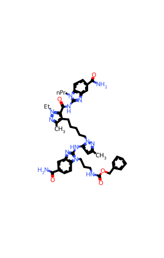 CCCn1c(NC(=O)c2c(CCCCCn3nc(C)cc3Nc3nc4cc(C(N)=O)ccc4n3CCCNC(=O)OCc3ccccc3)c(C)nn2CC)nc2cc(C(N)=O)ccc21